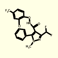 Cn1nc(C(F)F)c(C(=O)NOc2ccc(C(F)(F)F)cc2Cl)c1-c1ccccc1